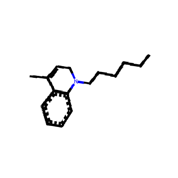 CCCCCCN1CC=C(C)c2ccccc21